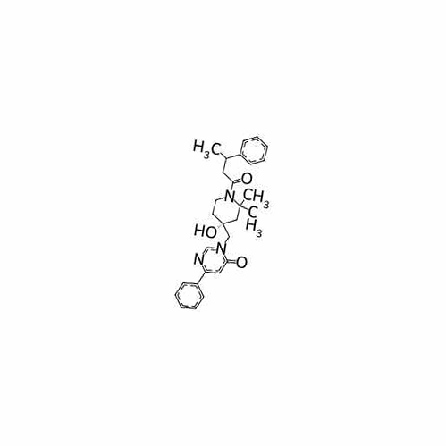 CC(CC(=O)N1CC[C@](O)(Cn2cnc(-c3ccccc3)cc2=O)CC1(C)C)c1ccccc1